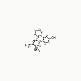 Cc1nc(N2CCOCC2)c(-c2ccc(C#N)cc2)cc1[N+](=O)[O-]